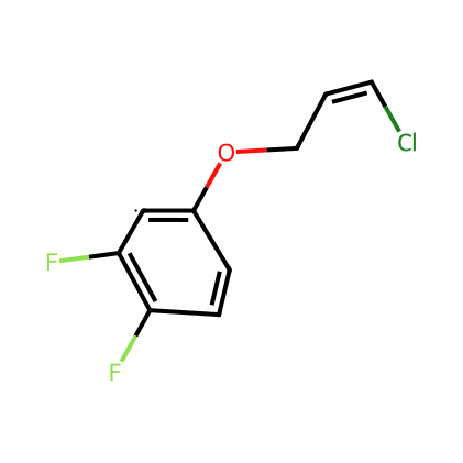 Fc1[c]c(OC/C=C\Cl)ccc1F